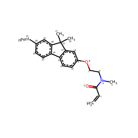 C=CC(=O)N(C)CCOc1ccc2c(c1)C(C)(C)c1cc(CCCCC)ccc1-2